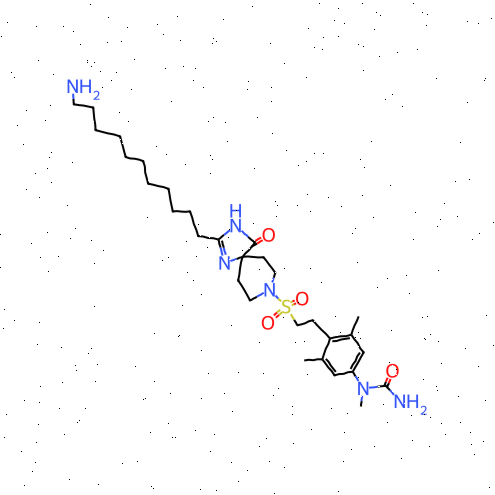 Cc1cc(N(C)C(N)=O)cc(C)c1CCS(=O)(=O)N1CCC2(CC1)N=C(CCCCCCCCCCCN)NC2=O